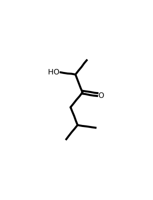 CC(C)CC(=O)C(C)O